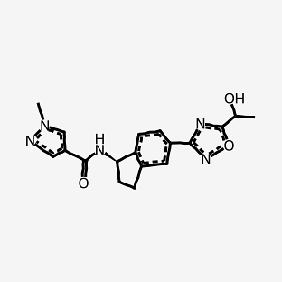 CC(O)c1nc(-c2ccc3c(c2)CC[C@H]3NC(=O)c2cnn(C)c2)no1